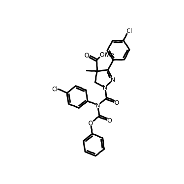 COC(=O)C1(C)CN(C(=O)N(C(=O)Oc2ccccc2)c2ccc(Cl)cc2)N=C1c1ccc(Cl)cc1